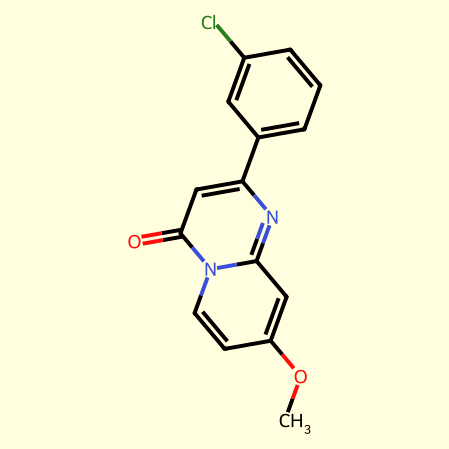 COc1ccn2c(=O)cc(-c3cccc(Cl)c3)nc2c1